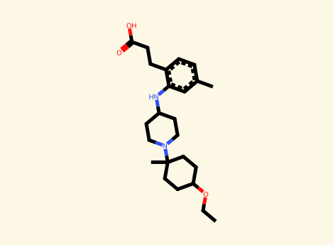 CCOC1CCC(C)(N2CCC(Nc3cc(C)ccc3CCC(=O)O)CC2)CC1